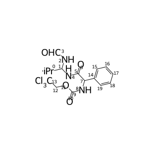 C[C](C)C(NC=O)NC(=O)C(NC(=O)OCC(Cl)(Cl)Cl)c1ccccc1